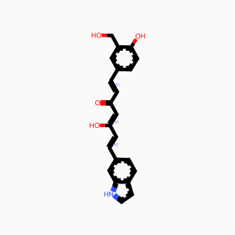 O=C(/C=C(O)/C=C/c1ccc2cc[nH]c2c1)/C=C/c1ccc(O)c(CO)c1